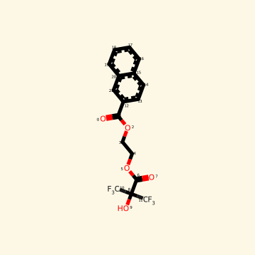 O=C(OCCOC(=O)C(O)(C(F)(F)F)C(F)(F)F)c1ccc2ccccc2c1